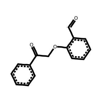 O=[C]c1ccccc1OCC(=O)c1ccccc1